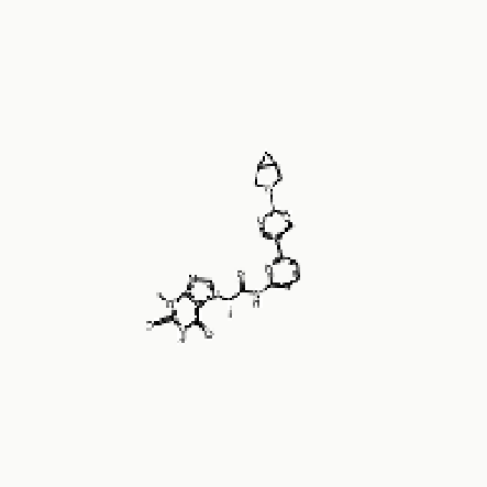 C[C@H](C(=O)Nc1cccc(-c2cnc(N3CC4CC4C3)nc2)n1)n1cnc2c1c(=O)[nH]c(=O)n2C